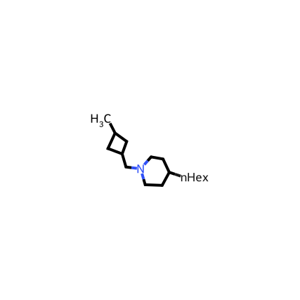 CCCCCCC1CCN(CC2CC(C)C2)CC1